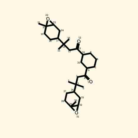 CC(C)(CC(=O)C1CCCC(C(=O)CC(C)(C)C2CCC3(C)OC3C2)C1)C1CCC2(C)OC2C1